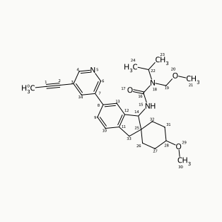 CC#Cc1cncc(-c2ccc3c(c2)C(NC(=O)N(COC)C(C)C)C2(CCC(OC)CC2)C3)c1